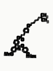 C=C(C)CCCCCCOc1ccc(CCC(=O)Oc2ccc3c(c2)c(Oc2ccc(OCCCCCC)cc2)nc2cc(OC)ccc23)cc1